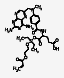 C=CC(=O)OCCO[Si](CC)(CC)OC(=O)C(CCC(=O)O)NC(=O)c1ccc(N(C)Cc2cnc3nc(N)nc(N)c3n2)cc1